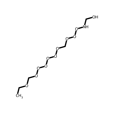 CCOCOOOOOOCOOONCO